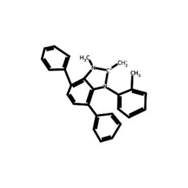 [CH2-][c+]1n(C)c2c(-c3ccccc3)ccc(-c3ccccc3)c2n1-c1ccccc1C